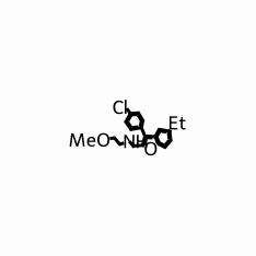 CCc1ccc2oc(CNCCOC)c(-c3ccc(Cl)cc3)c2c1